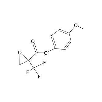 COc1ccc(OC(=O)C2(C(F)(F)F)CO2)cc1